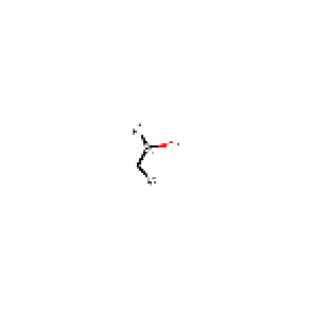 CCC[SiH]([O])CC